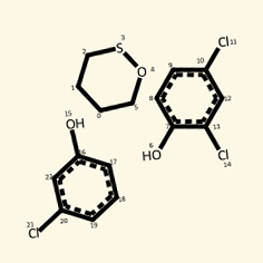 C1CCSOC1.Oc1ccc(Cl)cc1Cl.Oc1cccc(Cl)c1